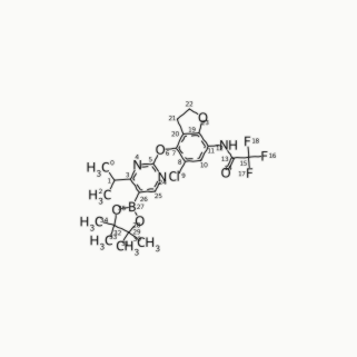 CC(C)c1nc(Oc2c(Cl)cc(NC(=O)C(F)(F)F)c3c2CCO3)ncc1B1OC(C)(C)C(C)(C)O1